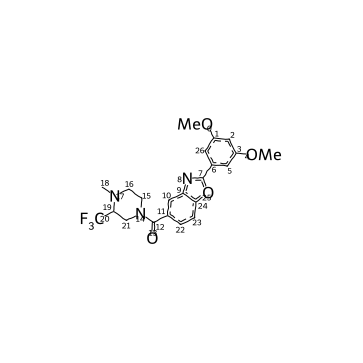 COc1cc(OC)cc(-c2nc3cc(C(=O)N4CCN(C)C(C(F)(F)F)C4)ccc3o2)c1